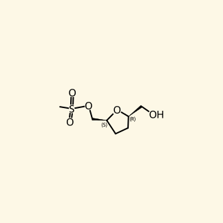 CS(=O)(=O)OC[C@@H]1CC[C@H](CO)O1